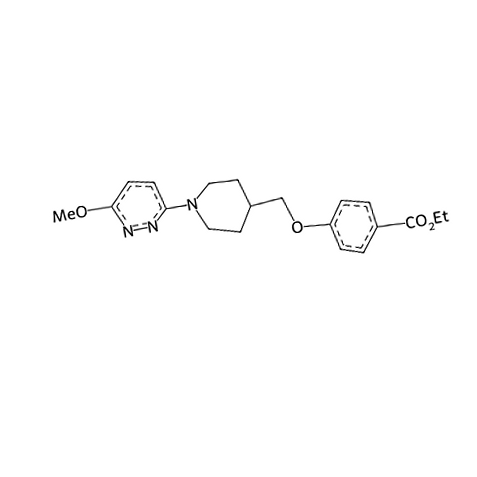 CCOC(=O)c1ccc(OCC2CCN(c3ccc(OC)nn3)CC2)cc1